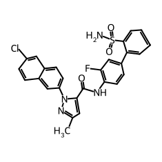 Cc1cc(C(=O)Nc2ccc(-c3ccccc3S(N)(=O)=O)cc2F)n(-c2ccc3cc(Cl)ccc3c2)n1